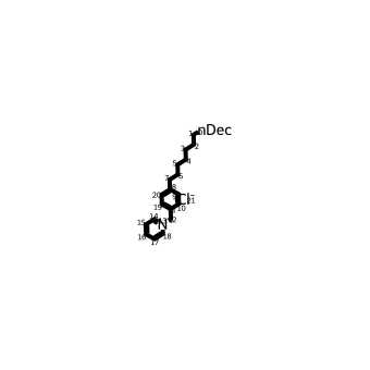 CCCCCCCCCCCCCCCCCc1ccc(C[n+]2ccccc2)cc1.[Cl-]